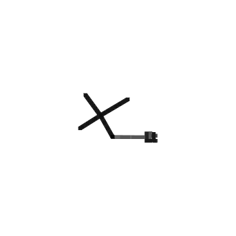 CCCC(C)(C)C